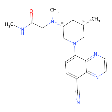 CNC(=O)CN(C)[C@@H]1C[C@H](C)CN(c2ccc(C#N)c3nccnc23)C1